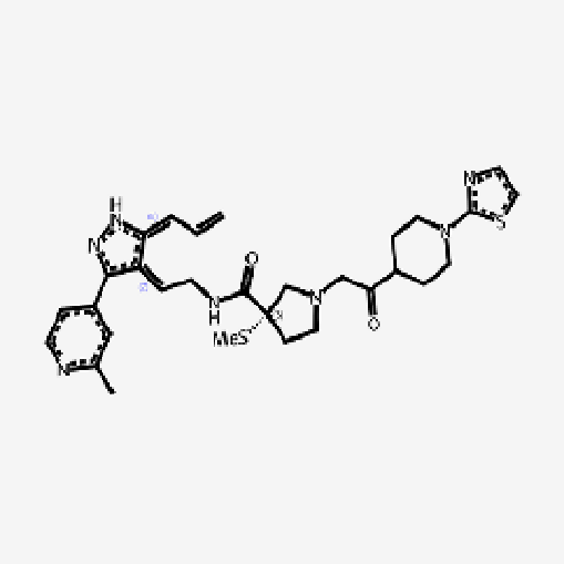 C=C/C=c1/[nH]nc(-c2ccnc(C)c2)/c1=C/CNC(=O)[C@]1(SC)CCN(CC(=O)C2CCN(c3nccs3)CC2)C1